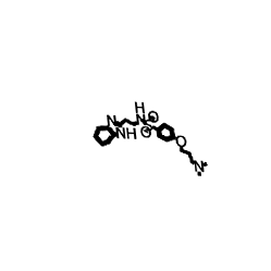 CN(C)CCCOc1ccc(S(=O)(=O)NCCc2nc3ccccc3[nH]2)cc1